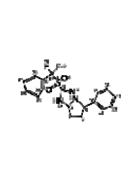 O=S(=O)(C1=NN2C(CCC2c2ccccc2)N1)C(F)(F)c1ccccc1